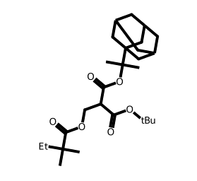 CCC(C)(C)C(=O)OCC(C(=O)OC(C)(C)C)C(=O)OC(C)(C)C12CC3CC(CC(C3)C1)C2